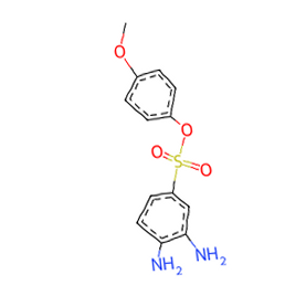 COc1ccc(OS(=O)(=O)c2ccc(N)c(N)c2)cc1